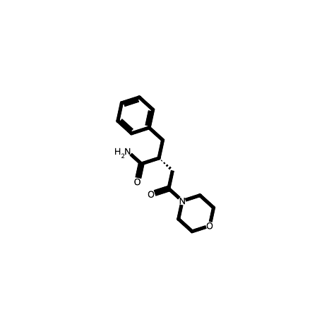 NC(=O)[C@@H](CC(=O)N1CCOCC1)Cc1ccccc1